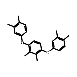 Cc1ccc(Oc2ccc(Oc3ccc(C)c(C)c3)c(C)c2C)cc1C